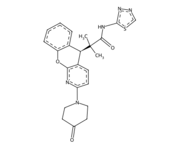 CC(C)(C(=O)Nc1nncs1)[C@@H]1c2ccccc2Oc2nc(N3CCC(=O)CC3)ccc21